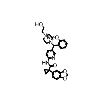 COc1ccccc1C(c1ccc(NC(=O)C2(c3ccc4c(c3)OCO4)CC2)nc1)N1CCN(CCO)CC1